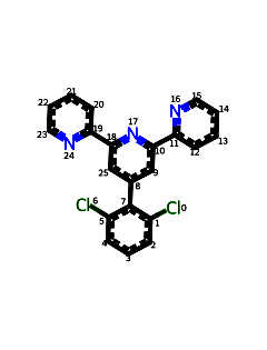 Clc1cccc(Cl)c1-c1cc(-c2ccccn2)nc(-c2ccccn2)c1